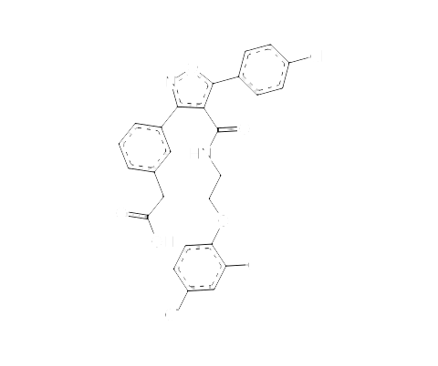 O=C(O)Cc1cccc(-c2noc(-c3ccc(Cl)cc3)c2C(=O)NCCOc2ccc(Cl)cc2Cl)c1